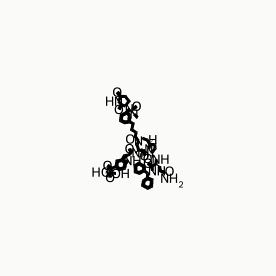 Cn1c(=O)n(C2CCC(=O)NC2=O)c2cccc(CCCC(=O)N3CC[C@H]4CC[C@@H](C(=O)N[C@@H](CCC(N)=O)C(=O)NC(c5ccccc5)c5ccccc5)N4C(=O)[C@@H](NC(=O)c4cc5cc(C(=O)P(=O)(O)O)ccc5[nH]4)C3)c21